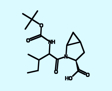 CCC(C)C(NC(=O)OC(C)(C)C)C(=O)N1C2CC2C[C@H]1C(=O)O